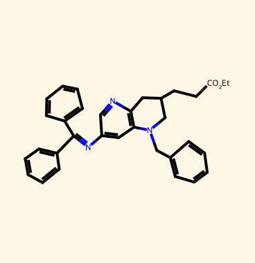 CCOC(=O)CCC1Cc2ncc(N=C(c3ccccc3)c3ccccc3)cc2N(Cc2ccccc2)C1